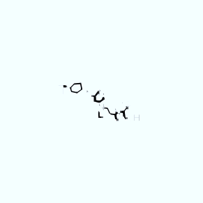 Cc1ccc(C2CN(c3cncc(OC[C@H]4CC[C@H](C(F)(F)F)CC4)c3)CCO2)nc1C(=O)O